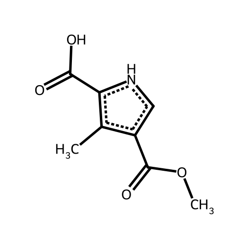 COC(=O)c1c[nH]c(C(=O)O)c1C